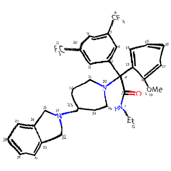 CCNC(=O)C(c1cc(C(F)(F)F)cc(C(F)(F)F)c1)(c1ccccc1OC)N1CCC(N2Cc3ccccc3C2)CC1